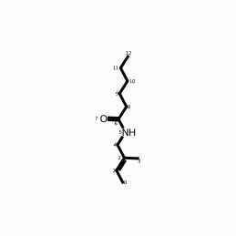 C/C=C(\C)CNC(=O)CCCCC